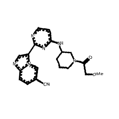 COCC(=O)N1CCCC(Nc2ccnc(-c3cnc4ccc(C#N)cn34)n2)C1